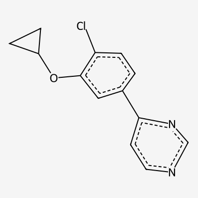 Clc1ccc(-c2ccncn2)cc1OC1CC1